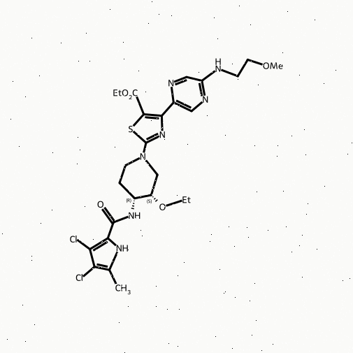 CCOC(=O)c1sc(N2CC[C@@H](NC(=O)c3[nH]c(C)c(Cl)c3Cl)[C@@H](OCC)C2)nc1-c1cnc(NCCOC)cn1